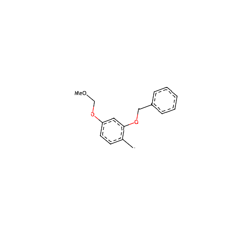 [CH2]c1ccc(OCOC)cc1OCc1ccccc1